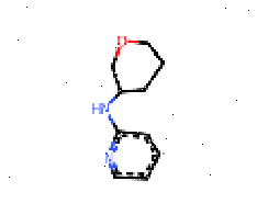 [c]1ccnc(NC2CCCOC2)c1